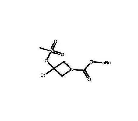 CCCCOC(=O)N1CC(CC)(OS(C)(=O)=O)C1